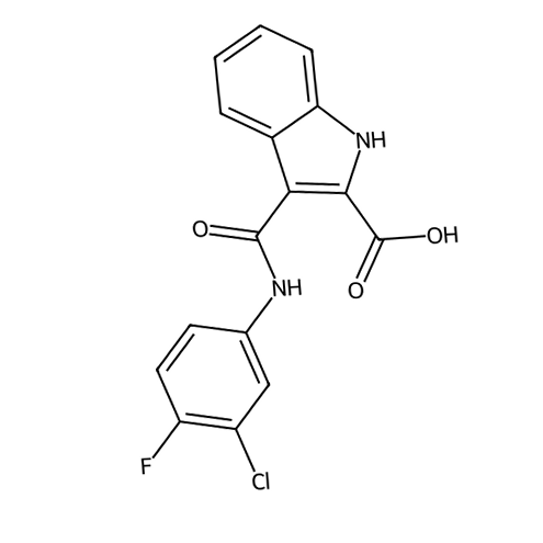 O=C(O)c1[nH]c2ccccc2c1C(=O)Nc1ccc(F)c(Cl)c1